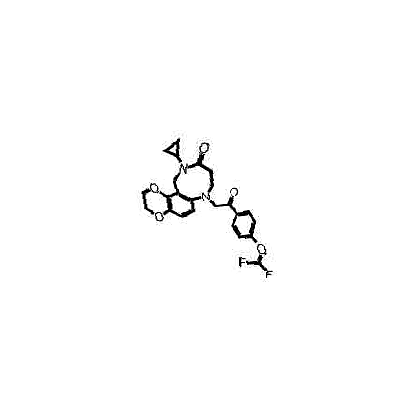 O=C(CN1CCC(=O)N(C2CC2)Cc2c1ccc1c2OCCO1)c1ccc(OC(F)F)cc1